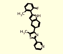 Cc1cccc(F)c1-c1cc2cc(-c3nc(-c4cccnc4)sc3C)ccc2[nH]1